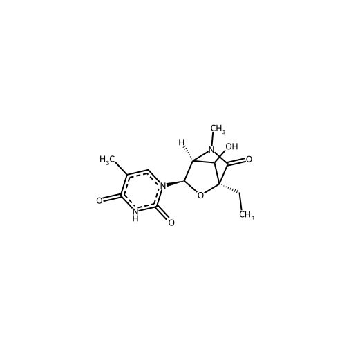 CC[C@]12O[C@@H](n3cc(C)c(=O)[nH]c3=O)[C@H](C1O)N(C)C2=O